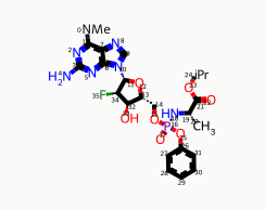 CNc1nc(N)nc2c1ncn2[C@@H]1O[C@H](CO[P@@](=O)(N[C@@H](C)C(=O)OC(C)C)Oc2ccccc2)[C@@H](O)[C@H]1F